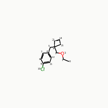 CCOCC1(Cc2ccc(Cl)cc2)CCC1